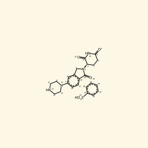 O=C1CC[C@@H](N2Cc3cc(N4CCNCC4)ccc3C2=O)C(=O)N1.O=S(=O)(O)c1ccccc1